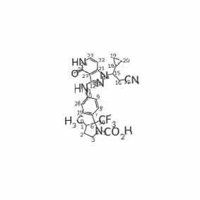 CC1CCN(C(=O)O)C1(c1ccc(Nc2nn(C(CC#N)C3CC3)c3cc[nH]c(=O)c23)cc1)C(F)(F)F